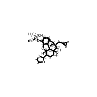 CC(C)(C)[Si](C)(C)Oc1ccc2c3c1O[C@H]1C(C4OCCO4)CCC4(O)[C@@H](C2)N(CC2CC2)CC[C@]314